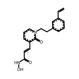 C=Cc1cccc(CCn2cccc(/C=C/C(=O)NO)c2=O)c1